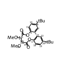 CON(C(=O)Oc1ccc(C(C)(C)C)cc1)N(OC)C(=O)Oc1ccc(C(C)(C)C)cc1